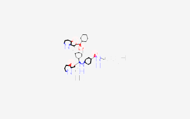 Cc1c(C(=O)C2CCCCC2)oc2cccnc12.Cc1c(C(Nc2ccc(C(=O)NCCC(=O)O)cc2)C2CCCCC2)oc2cccnc12